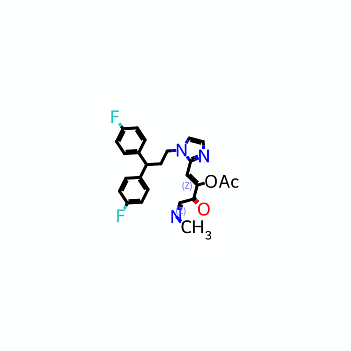 C/N=C\C(=O)/C(=C/c1nccn1CCC(c1ccc(F)cc1)c1ccc(F)cc1)OC(C)=O